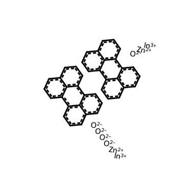 [In+3].[In+3].[O-2].[O-2].[O-2].[O-2].[O-2].[Zn+2].[Zn+2].c1cc2cccc3c4cccc5cccc(c(c1)c23)c54.c1cc2cccc3c4cccc5cccc(c(c1)c23)c54